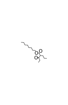 CCCCCCCCOC(=O)C(CCC)C(=O)CC